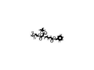 CC(C)(C)OC(=O)[C@H](CCCCC(=O)OCc1ccccc1)C(=O)OCC[Si](C)(C)C